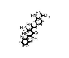 N=C(CN1CCN(C(=N)C(F)(F)F)C(=N)C1)c1c(N)[nH]c(-c2c(F)cccc2F)c(O)c1=O